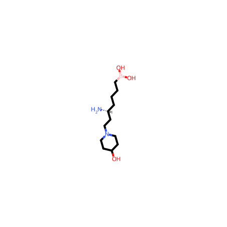 N[C@H](CCCCB(O)O)CCN1CCC(O)CC1